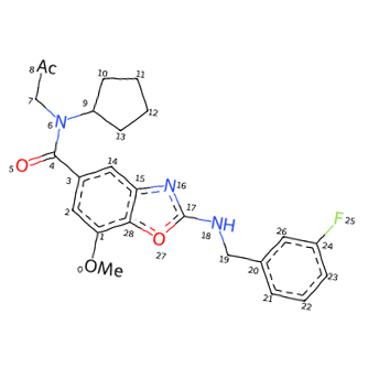 COc1cc(C(=O)N(CC(C)=O)C2CCCC2)cc2nc(NCc3cccc(F)c3)oc12